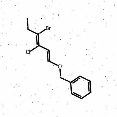 CC/C(Br)=C(Cl)/C=C/OCc1ccccc1